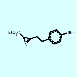 CCOC(=O)C1N=C1CCc1ccc(C(C)(C)C)cc1